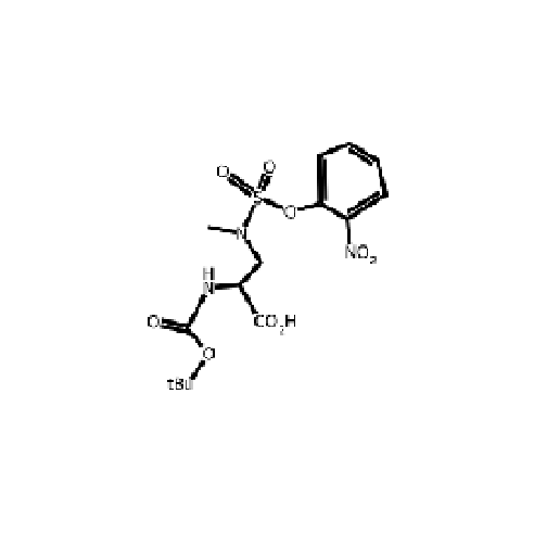 CN(CC(NC(=O)OC(C)(C)C)C(=O)O)S(=O)(=O)Oc1ccccc1[N+](=O)[O-]